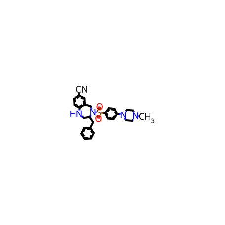 CN1CCN(c2ccc(S(=O)(=O)N3Cc4cc(C#N)ccc4NCC3Cc3ccccc3)cc2)CC1